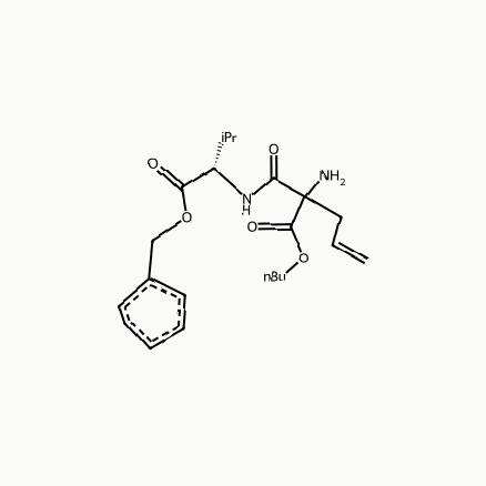 C=CCC(N)(C(=O)N[C@H](C(=O)OCc1ccccc1)C(C)C)C(=O)OCCCC